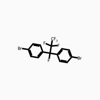 FC(F)(F)C(F)(F)C(F)(c1ccc(Br)cc1)c1ccc(Br)cc1